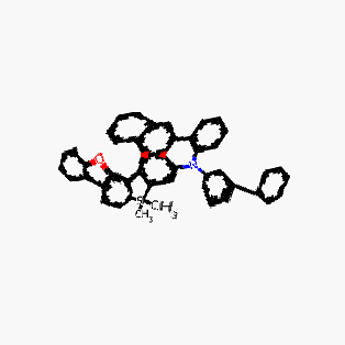 C[Si]1(C)c2cc(N(c3cccc(-c4ccccc4)c3)c3ccccc3-c3ccc4ccccc4c3)ccc2-c2c1ccc1c2oc2ccccc21